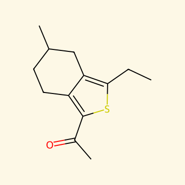 CCc1sc(C(C)=O)c2c1CC(C)CC2